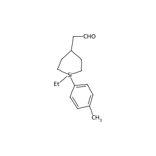 CC[Si]1(c2ccc(C)cc2)CCC(CC=O)CC1